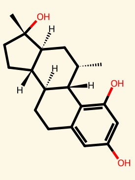 C[C@H]1C[C@H]2[C@@H](CC[C@]2(C)O)[C@@H]2CCc3cc(O)cc(O)c3[C@H]21